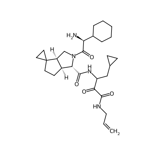 C=CCNC(=O)C(=O)C(CC1CC1)NC(=O)[C@@H]1[C@H]2CCC3(CC3)[C@H]2CN1C(=O)[C@@H](N)C1CCCCC1